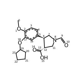 COc1ccc([C@H]2CN(C=O)C[C@@H]2C(=O)O)cc1OC1CCCC1